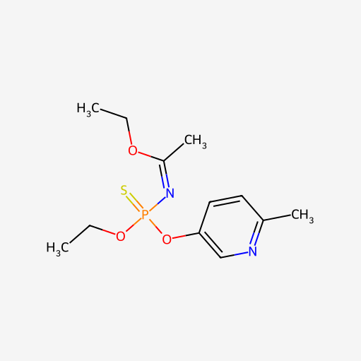 CCOC(C)=NP(=S)(OCC)Oc1ccc(C)nc1